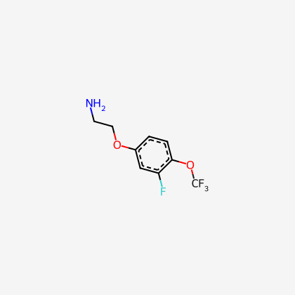 NCCOc1ccc(OC(F)(F)F)c(F)c1